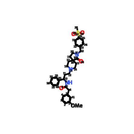 COc1cccc(CC(=O)NC(CCN2CCC3(CC2)CCN(Cc2ccc(S(C)(=O)=O)cc2)C3=O)c2ccccc2)c1